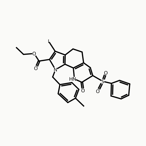 CCOC(=O)c1c(I)c2c(n1Cc1ccc(C)cc1)-c1[nH]c(=O)c(S(=O)(=O)c3ccccc3)cc1CC2